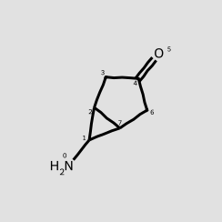 NC1C2CC(=O)CC12